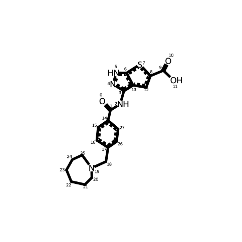 O=C(Nc1n[nH]c2sc(C(=O)O)cc12)c1ccc(CN2CCCCCC2)cc1